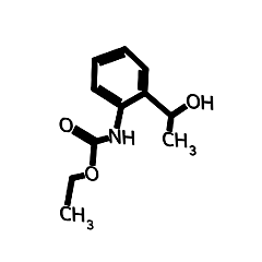 CCOC(=O)Nc1ccccc1C(C)O